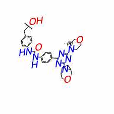 C[C@@H]1COCCN1c1nc(-c2ccc(NC(=O)Nc3ccc(CC(C)(C)O)cc3)cc2)nc(N2C3CCC2COC3)n1